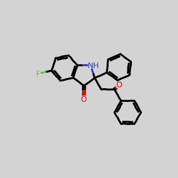 O=C(CC1(c2ccccc2)Nc2ccc(F)cc2C1=O)c1ccccc1